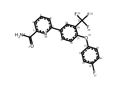 NC(=O)c1cccc(-c2ccc(Oc3ccc(F)cc3)c(C(F)(F)F)c2)n1